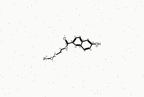 CC(C)OCCCOC(=O)c1ccc2cc(O)ccc2c1